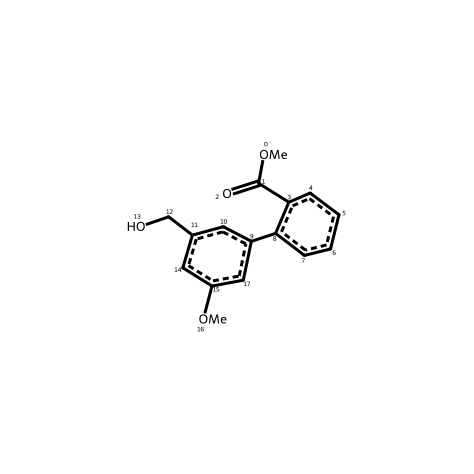 COC(=O)c1ccccc1-c1cc(CO)cc(OC)c1